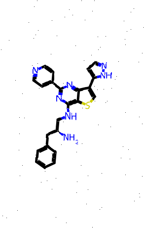 N[C@H](CNc1nc(-c2ccncc2)nc2c(-c3ccn[nH]3)csc12)Cc1ccccc1